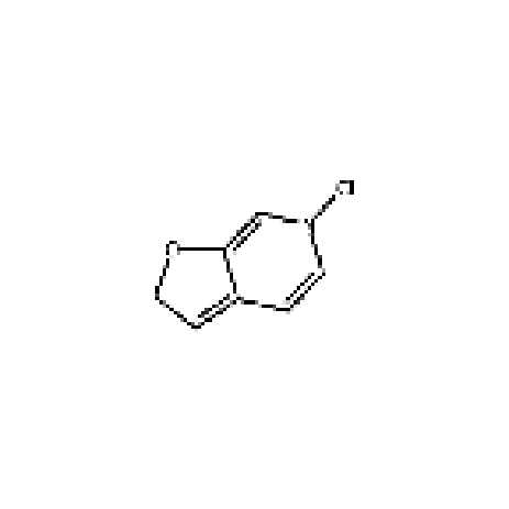 ClN1C=CC2=CCOC2=C1